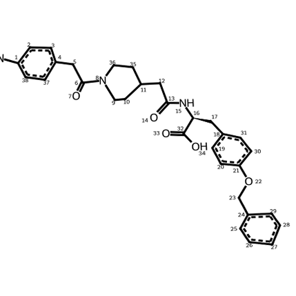 Nc1ccc(CC(=O)N2CCC(CC(=O)N[C@@H](Cc3ccc(OCc4ccccc4)cc3)C(=O)O)CC2)cc1